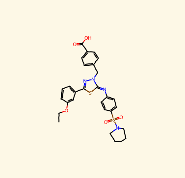 CCOc1cccc(-c2nn(Cc3ccc(C(=O)O)cc3)/c(=N/c3ccc(S(=O)(=O)N4CCCCC4)cc3)s2)c1